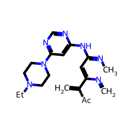 C=N/C(=C\C(=N/C)Nc1cc(N2CCN(CC)CC2)ncn1)C(=C)C(C)=O